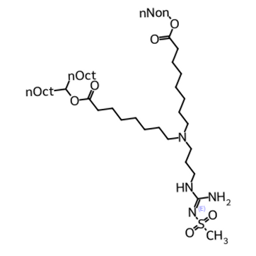 CCCCCCCCCOC(=O)CCCCCCCN(CCCCCCCC(=O)OC(CCCCCCCC)CCCCCCCC)CCCN/C(N)=N/S(C)(=O)=O